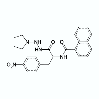 O=C(NC(Cc1ccc([N+](=O)[O-])cc1)C(=O)NNN1CCCC1)c1cccc2ccccc12